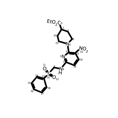 CCOC(=O)C1CCN(c2nc(NCS(=O)(=O)c3ccccc3)ccc2[N+](=O)[O-])CC1